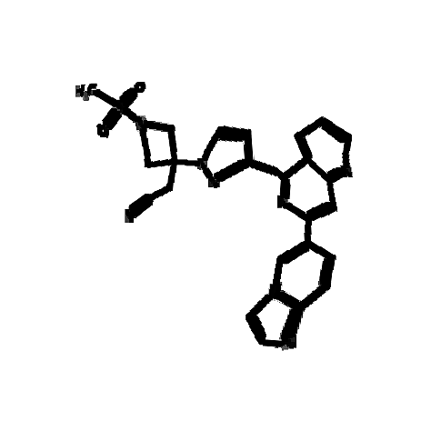 CS(=O)(=O)N1CC(CC#N)(n2ccc(-c3nc(-c4ccc5nccn5c4)cc4ncccc34)n2)C1